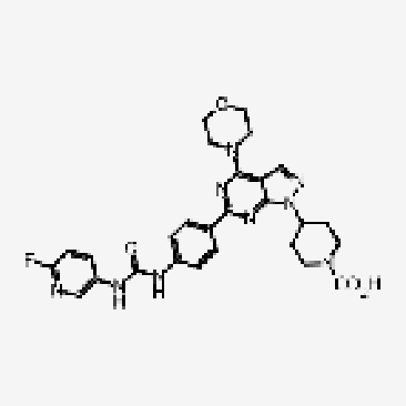 O=C(Nc1ccc(-c2nc(N3CCOCC3)c3cnn(C4CCN(C(=O)O)CC4)c3n2)cc1)Nc1ccc(F)nc1